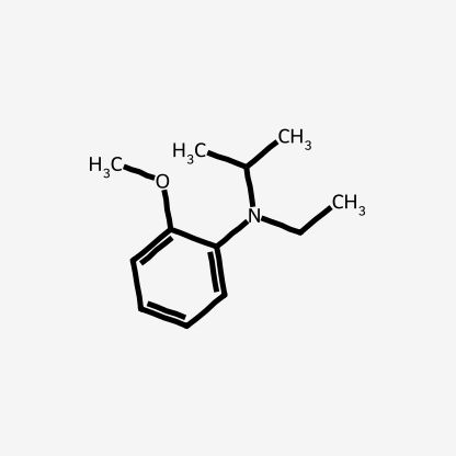 CCN(c1ccccc1OC)C(C)C